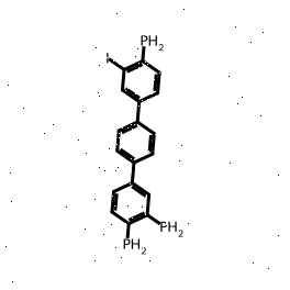 Pc1ccc(-c2ccc(-c3ccc(P)c(I)c3)cc2)cc1P